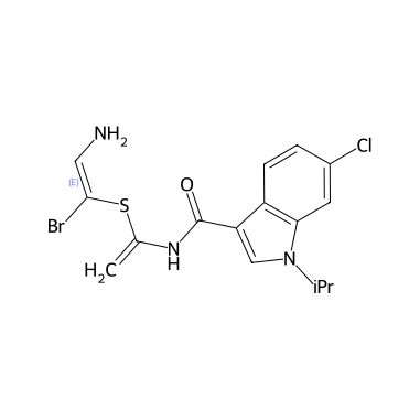 C=C(NC(=O)c1cn(C(C)C)c2cc(Cl)ccc12)S/C(Br)=C\N